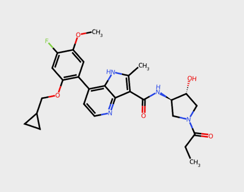 CCC(=O)N1C[C@@H](O)[C@H](NC(=O)c2c(C)[nH]c3c(-c4cc(OC)c(F)cc4OCC4CC4)ccnc23)C1